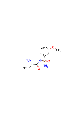 CC(C)C[C@H](N)C(=O)N=S(N)(=O)c1cccc(OC(F)(F)F)c1